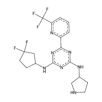 FC1(F)CCC(Nc2nc(NC3CCNC3)nc(-c3cccc(C(F)(F)F)n3)n2)C1